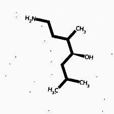 CC(C)C[C@H](O)C(C)CCN